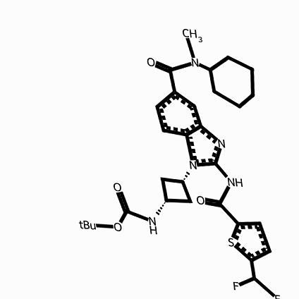 CN(C(=O)c1ccc2c(c1)nc(NC(=O)c1ccc(C(F)F)s1)n2[C@H]1C[C@@H](NC(=O)OC(C)(C)C)C1)C1CCCCC1